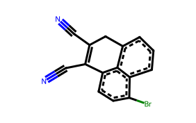 N#CC1=C(C#N)c2ccc(Br)c3cccc(c23)C1